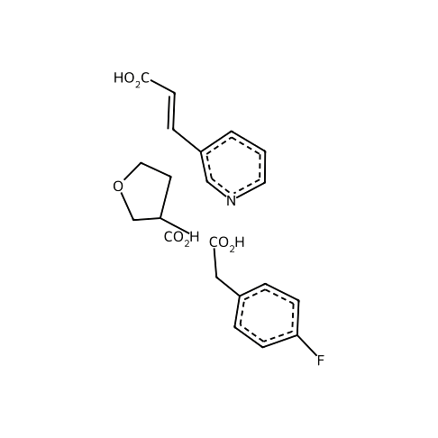 O=C(O)C1CCOC1.O=C(O)C=Cc1cccnc1.O=C(O)Cc1ccc(F)cc1